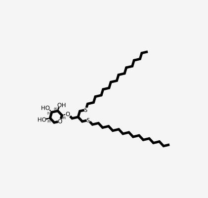 CCCCCCCCCCCCCCCCSCC(CO[C@@H]1OC[C@@H](O)[C@H](O)[C@H]1O)CSCCCCCCCCCCCCCCCC